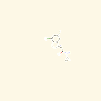 O=C(/C=C1\CCc2c(Cl)cc(F)cc21)NC1CC1